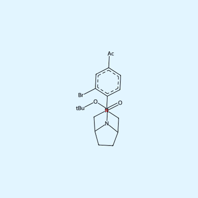 CC(=O)c1ccc(N2CC3CCC(C2)N3C(=O)OC(C)(C)C)c(Br)c1